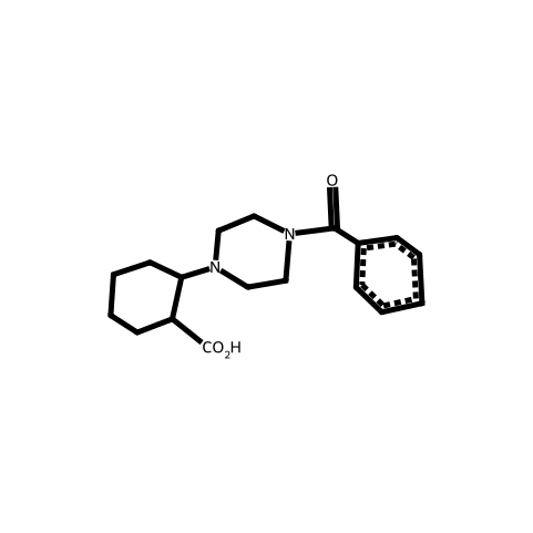 O=C(O)C1CCCCC1N1CCN(C(=O)c2ccccc2)CC1